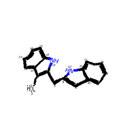 Cc1c(Cc2cc3ccccc3[nH]2)[nH]c2ccccc12